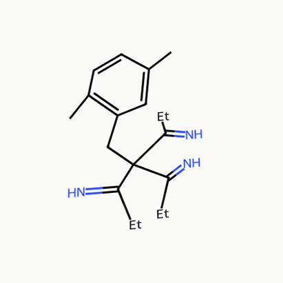 CCC(=N)C(Cc1cc(C)ccc1C)(C(=N)CC)C(=N)CC